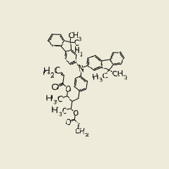 C=CC(=O)OC(C)C(Cc1ccc(N(c2ccc3c(c2)C(C)(C)c2ccccc2-3)c2ccc3c(c2)C(C)(C)c2ccccc2-3)cc1)C(C)OC(=O)C=C